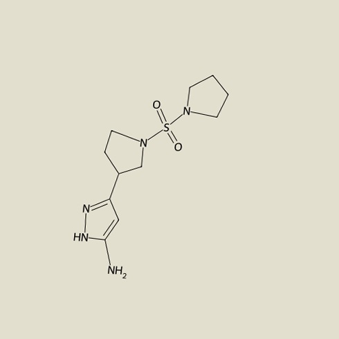 Nc1cc(C2CCN(S(=O)(=O)N3CCCC3)C2)n[nH]1